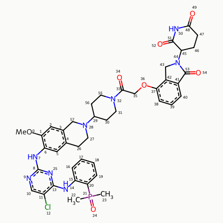 COc1cc2c(cc1Nc1ncc(Cl)c(Nc3ccccc3P(C)(C)=O)n1)CCN(C1CCN(C(=O)COc3cccc4c3CN(C3CCC(=O)NC3=O)C4=O)CC1)C2